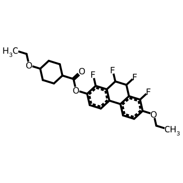 CCOc1ccc2c(c1F)C(F)C(F)c1c-2ccc(OC(=O)C2CCC(OCC)CC2)c1F